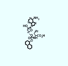 CC(C)CC(NP(=O)(OC[C@@H]1C[C@@H](O)[C@H](n2cnc3c(N)ncnc32)O1)Oc1cccc2ccccc12)C(=O)O